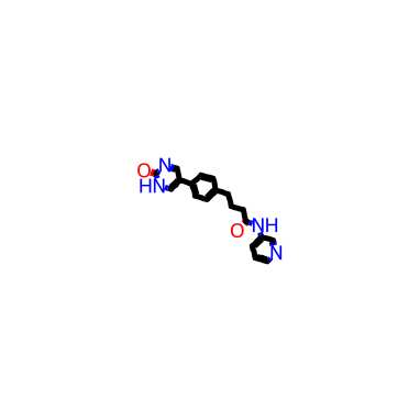 O=C(CCCc1ccc(-c2cnc(=O)[nH]c2)cc1)Nc1cccnc1